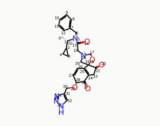 C[C@@H](C1CC1)N(Cc1ccccc1)C(=O)CN1COC2(C1)C(=O)CC1=C2C=CC(OCc2c[nH]nn2)C1=O